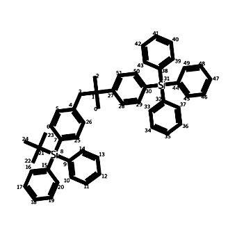 CC(C)(Cc1ccc([Si](c2ccccc2)(c2ccccc2)C(C)(C)C)cc1)c1ccc([Si](c2ccccc2)(c2ccccc2)c2ccccc2)cc1